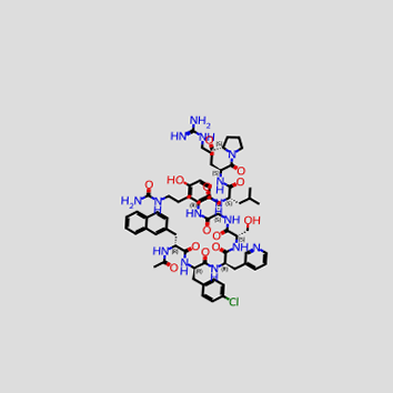 CC(=O)N[C@H](Cc1ccc2ccccc2c1)C(=O)N[C@H](Cc1ccc(Cl)cc1)C(=O)N[C@H](Cc1cccnc1)C(=O)N[C@@H](CO)C(=O)N[C@@H](Cc1ccc(O)cc1)C(=O)N[C@H](CCCNC(N)=O)C(=O)N[C@@H](CC(C)C)C(=O)N[C@@H](CCCNC(=N)N)C(=O)N1CCC[C@H]1[C]=O